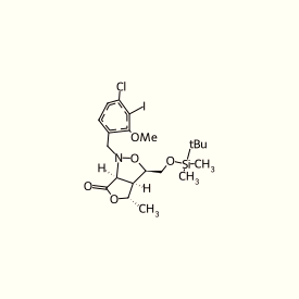 COc1c(CN2O[C@@H](CO[Si](C)(C)C(C)(C)C)[C@H]3[C@H](C)OC(=O)[C@H]32)ccc(Cl)c1I